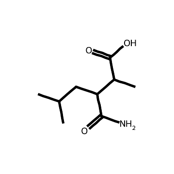 CC(C)CC(C(N)=O)C(C)C(=O)O